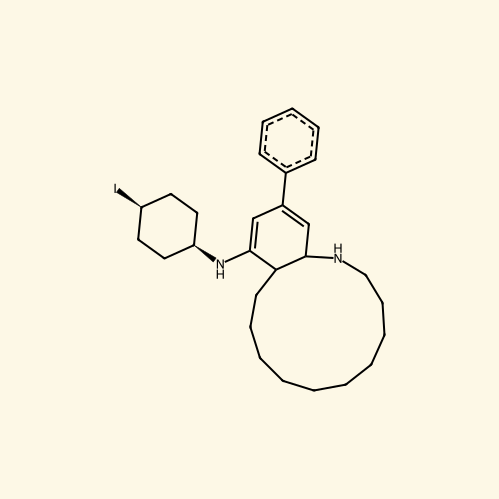 I[C@H]1CC[C@@H](NC2=CC(c3ccccc3)=CC3NCCCCCCCCCCC23)CC1